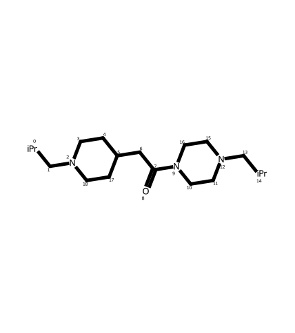 CC(C)CN1CCC(CC(=O)N2CCN(CC(C)C)CC2)CC1